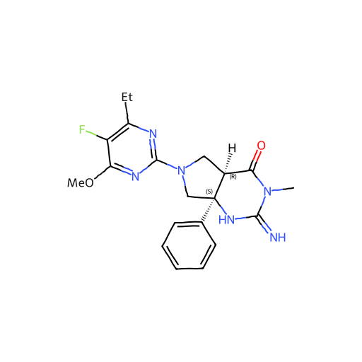 CCc1nc(N2C[C@H]3C(=O)N(C)C(=N)N[C@@]3(c3ccccc3)C2)nc(OC)c1F